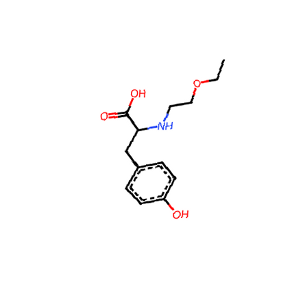 CCOCCNC(Cc1ccc(O)cc1)C(=O)O